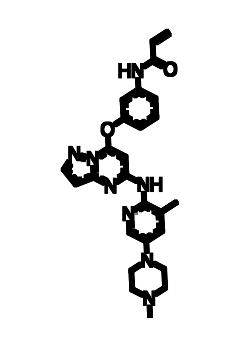 C=CC(=O)Nc1cccc(Oc2cc(Nc3ncc(N4CCN(C)CC4)cc3C)nc3ccnn23)c1